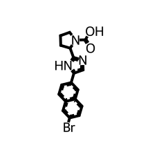 O=C(O)N1CCCC1c1ncc(-c2ccc3cc(Br)ccc3c2)[nH]1